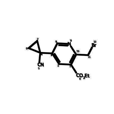 CCOC(=O)c1cc(C2(C#N)CC2)cnc1CBr